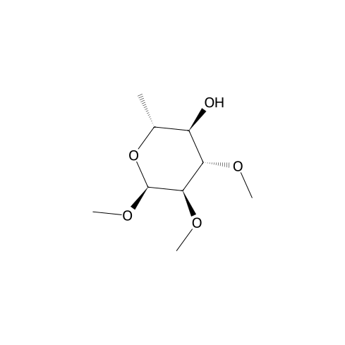 CO[C@H]1O[C@H](C)[C@@H](O)[C@H](OC)[C@H]1OC